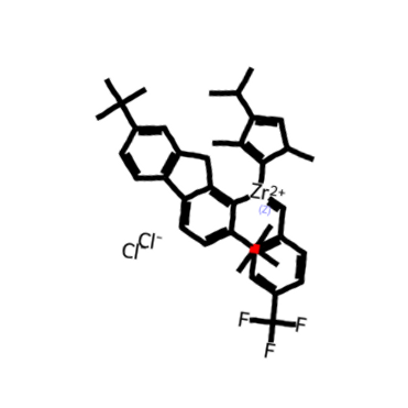 CC1=[C](/[Zr+2](=[CH]/c2ccc(C(F)(F)F)cc2)[c]2c(C(C)(C)C)ccc3c2Cc2cc(C(C)(C)C)ccc2-3)C(C)C=C1C(C)C.[Cl-].[Cl-]